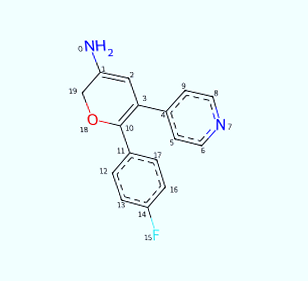 NC1=CC(c2ccncc2)=C(c2ccc(F)cc2)OC1